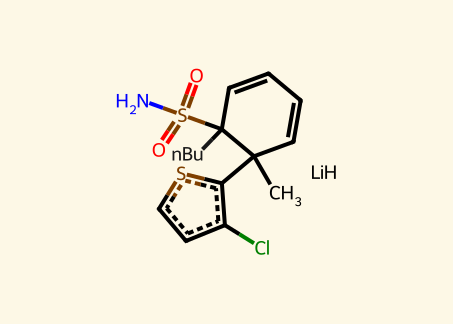 CCCCC1(S(N)(=O)=O)C=CC=CC1(C)c1sccc1Cl.[LiH]